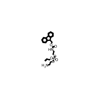 C=CCOP(=O)(OCCN)OCCNC(=O)OCC1c2ccccc2-c2ccccc21